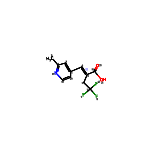 Cc1cc(/C=C(\CC(F)(F)F)C(=O)O)ccn1